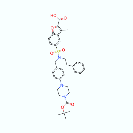 Cc1c(C(=O)O)oc2ccc(S(=O)(=O)N(CCc3ccccc3)Cc3ccc(N4CCN(C(=O)OC(C)(C)C)CC4)cc3)cc12